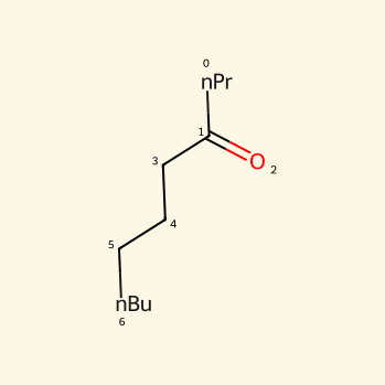 C[CH]CC(=O)CCCCCCC